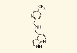 FC(F)(F)c1ccc(CNCc2ccnc3[nH]ccc23)nc1